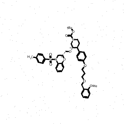 COc1ccccc1COCCCOc1ccc(C2CCN(C(=O)OC(C)(C)C)C[C@H]2OC[C@H]2CN(S(=O)(=O)c3ccc(C)cc3)c3ccccc3O2)cc1